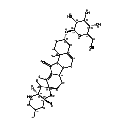 CC1=C2C(=O)C3C(CC=C4C[C@@H](O[C@@H]5OC(CO)[C@@H](O)C(O)C5O)CCC43C)C2CC[C@]12O[C@@H]1CC(C)CN[C@H]1C2C